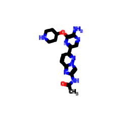 CC(=O)Nc1cn2nc(-c3cnc(N)c(OC4CCNCC4)n3)ccc2n1